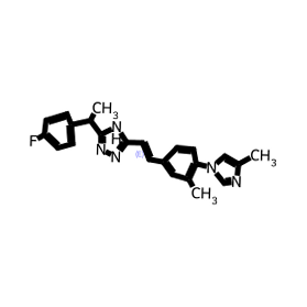 Cc1cn(-c2ccc(/C=C/c3nnc(C(C)c4ccc(F)cc4)[nH]3)cc2C)cn1